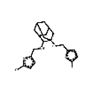 Clc1ccc(CNC2C3CC4CC(C3)CC2(NCc2ccc(Cl)s2)C4)s1